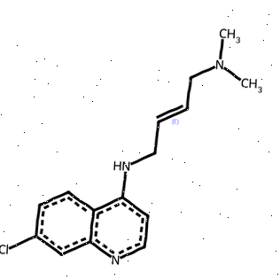 CN(C)C/C=C/CNc1ccnc2cc(Cl)ccc12